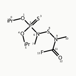 CC(C)OP(=S)(OC(C)C)N(C)SN(C)C(=O)F